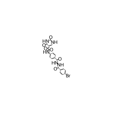 O=C(NNC(=O)c1ccc(NS(=O)(=O)c2c[nH]c(=O)[nH]c2=O)cc1)c1ccc(Br)cc1